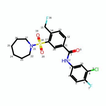 O=C(Nc1ccc(F)c(Cl)c1)c1ccc(CF)c(S(=O)(=O)N2CCCCCC2)c1